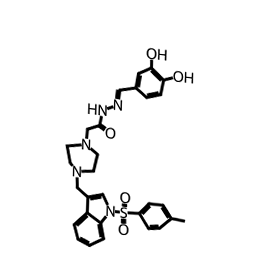 Cc1ccc(S(=O)(=O)n2cc(CN3CCN(CC(=O)NN=Cc4ccc(O)c(O)c4)CC3)c3ccccc32)cc1